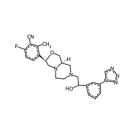 Cc1c([C@@H]2CN3CCN(CC(O)c4cccc(-n5cnnn5)c4)C[C@@H]3CO2)ccc(F)c1C#N